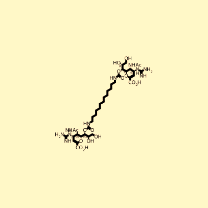 CC(=O)N[C@H]1[C@H]([C@H](OC(=O)NCCCCCCCCCCCCCNC(=O)O[C@@H]([C@@H]2OC(C(=O)O)=C[C@H](NC(=N)N)[C@H]2NC(C)=O)[C@H](O)CO)[C@H](O)CO)OC(C(=O)O)=C[C@@H]1NC(=N)N